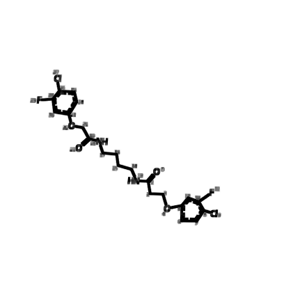 O=C(CCOc1ccc(Cl)c(F)c1)NCCCCNC(=O)COc1ccc(Cl)c(F)c1